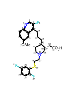 COc1ccc2ncc(F)c(CCC[C@@H]3CCN(CCSc4cc(F)ccc4F)C[C@H]3CC(=O)O)c2c1